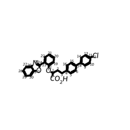 O=C(O)C(CCc1ccc(-c2ccc(Cl)cc2)cc1)Oc1ccccc1-c1nc2ccccc2o1